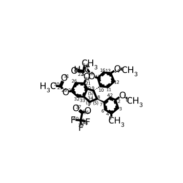 COc1cc(C)cc([C@@H]2[C@@H](c3ccc(OC)cc3OC)c3c(OC(C)=O)cc(OC(C)=O)cc3[C@H]2OC(=O)C(F)(F)F)c1